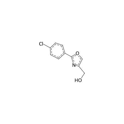 OCc1coc(-c2ccc(Cl)cc2)n1